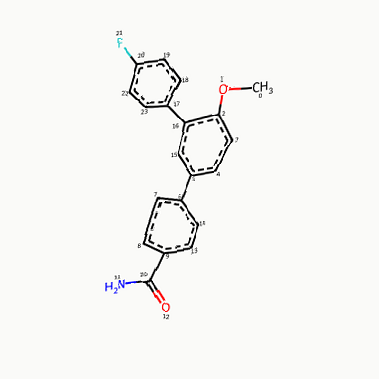 COc1ccc(-c2ccc(C(N)=O)cc2)cc1-c1ccc(F)cc1